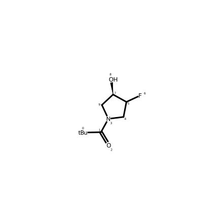 CC(C)(C)C(=O)N1CC(F)[C@H](O)C1